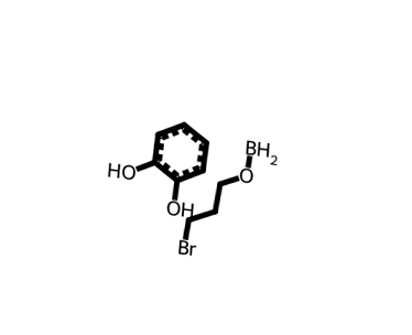 BOCCCBr.Oc1ccccc1O